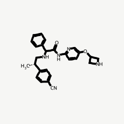 C[C@H](CNC(C(=O)Nc1ccc(OC2CNC2)cn1)c1ccccc1)c1ccc(C#N)cc1